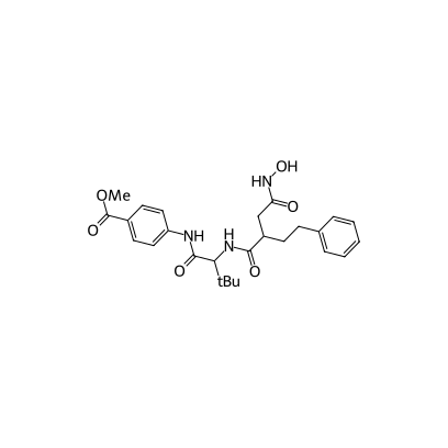 COC(=O)c1ccc(NC(=O)C(NC(=O)C(CCc2ccccc2)CC(=O)NO)C(C)(C)C)cc1